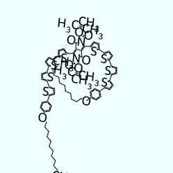 CCCCCCCCCCCCOc1ccc(-c2ccc(-c3ccc(-c4ccc(-c5ccc(C6=C7C(=O)N(C(=O)OC(C)(C)C)C(c8ccc(-c9ccc(-c%10ccc(-c%11ccc(-c%12ccc(OCCCCCCCCCCCC)cc%12)s%11)s%10)s9)s8)=C7C(=O)N6C(=O)OC(C)(C)C)s5)s4)s3)s2)cc1